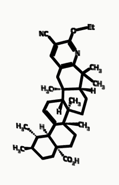 CCOc1nc2c(cc1C#N)C[C@]1(C)[C@H]3CC=C4[C@@H]5[C@@H](C)[C@H](C)CC[C@]5(C(=O)O)CC[C@@]4(C)[C@]3(C)CC[C@H]1C2(C)C